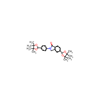 CC1(C)OB(c2ccc(N3Cc4cc(B5OC(C)(C)C(C)(C)O5)ccc4C3=O)cc2)OC1(C)C